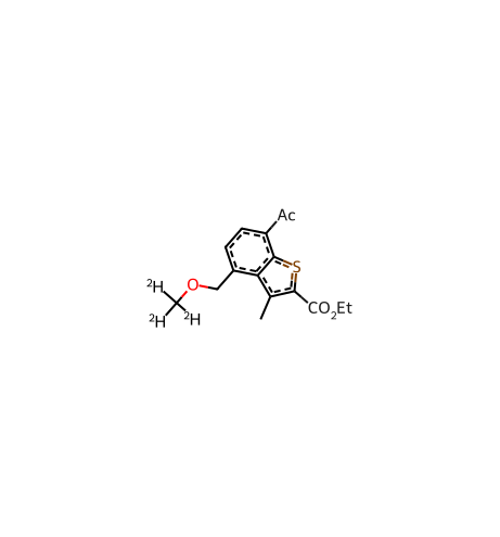 [2H]C([2H])([2H])OCc1ccc(C(C)=O)c2sc(C(=O)OCC)c(C)c12